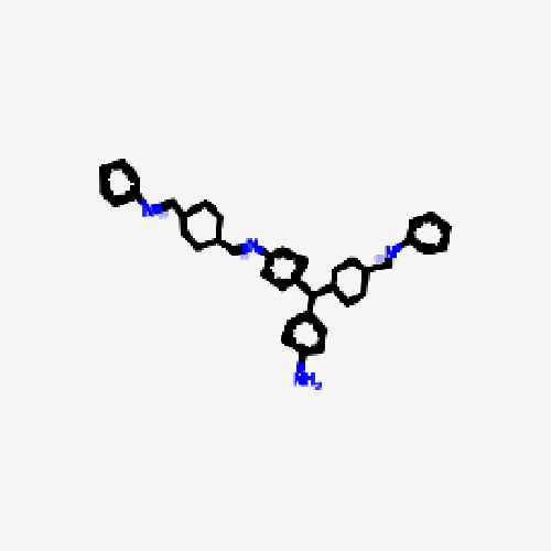 Nc1ccc(C(c2ccc(/N=C/C3CCC(/C=N/c4ccccc4)CC3)cc2)C2CCC(/C=N/c3ccccc3)CC2)cc1